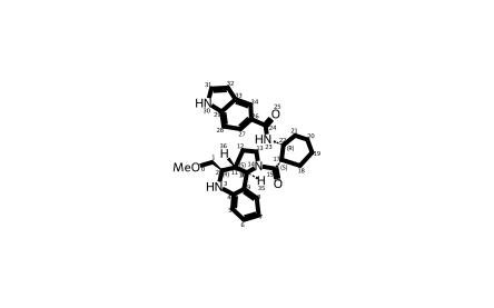 COC[C@@H]1Nc2ccccc2[C@H]2[C@H]1CCN2C(=O)[C@H]1CCCC[C@H]1NC(=O)c1ccc2[nH]ccc2c1